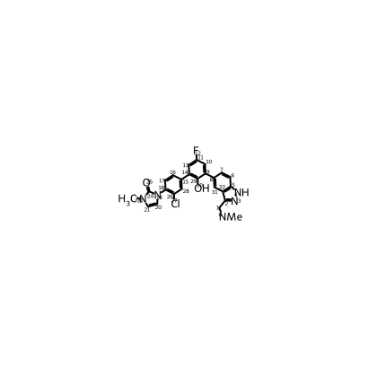 CNCc1n[nH]c2ccc(-c3cc(F)cc(-c4ccc(-n5ccn(C)c5=O)c(Cl)c4)c3O)cc12